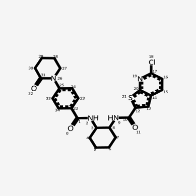 O=C(NC1CCCCC1NC(=O)c1cc2ccc(Cl)nc2s1)c1ccc(N2CCCCC2=O)cc1